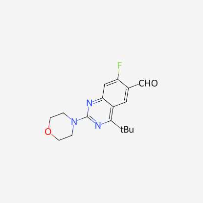 CC(C)(C)c1nc(N2CCOCC2)nc2cc(F)c(C=O)cc12